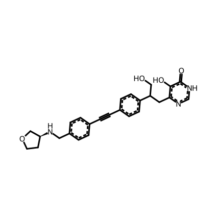 O=c1[nH]cnc(CC(CO)c2ccc(C#Cc3ccc(CN[C@H]4CCOC4)cc3)cc2)c1O